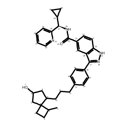 CC1CCC12CC(O)CC2CCCc1ccc(-c2n[nH]c3ccc(C(=O)N[C@@H](c4ccccn4)C4CC4)cc23)cc1